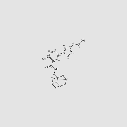 O=C(NCC12CC3CC(CC(C3)C1)C2)c1cc(-c2nc(COO)co2)ccc1Cl